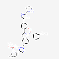 COc1cccc(C2Oc3cc(-c4cnc(C5CCCN5)[nH]4)ccc3-c3cc4cc(-c5ncc([C@@H]6CC7CC7N6C(=O)OC(C)(C)C)[nH]5)ccc4n32)c1